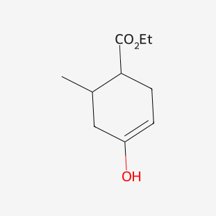 CCOC(=O)C1CC=C(O)CC1C